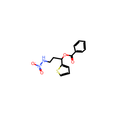 O=C(OC(CCN[N+](=O)[O-])c1cccs1)c1ccccc1